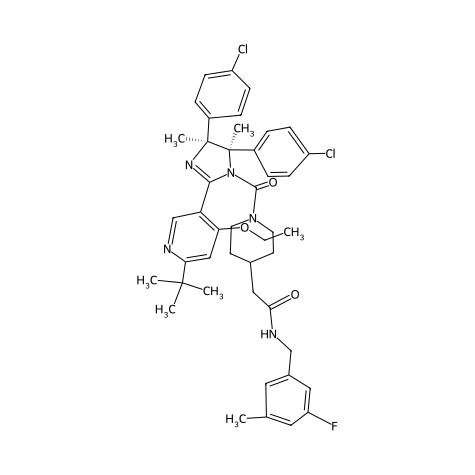 CCOc1cc(C(C)(C)C)ncc1C1=N[C@@](C)(c2ccc(Cl)cc2)[C@@](C)(c2ccc(Cl)cc2)N1C(=O)N1CCC(CC(=O)NCc2cc(C)cc(F)c2)CC1